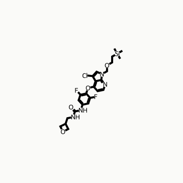 C[Si](C)(C)CCOCn1cc(Cl)c2c(Oc3c(F)cc(NC(=O)NCC4COC4)cc3F)ccnc21